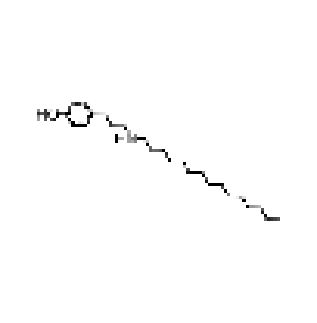 CCCCCCCCCCCCCCCNCCCc1ccc(O)cc1